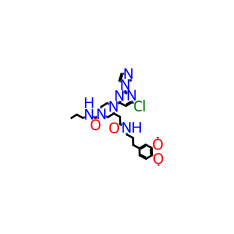 CCCNC(=O)N1CCN(c2cc(Cl)nc(-n3ccnc3)n2)C(CC(=O)NCCCc2ccc(OC)c(OC)c2)C1